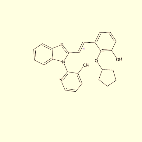 N#Cc1cccnc1-n1c(/C=C/c2cccc(O)c2OC2CCCC2)nc2ccccc21